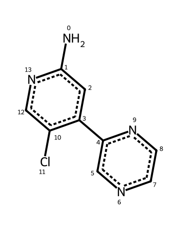 Nc1cc(-c2cnccn2)c(Cl)cn1